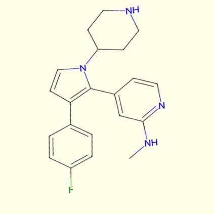 CNc1cc(-c2c(-c3ccc(F)cc3)ccn2C2CCNCC2)ccn1